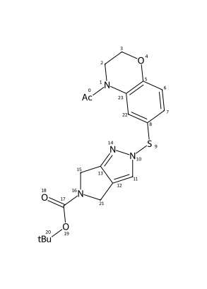 CC(=O)N1CCOc2ccc(Sn3cc4c(n3)CN(C(=O)OC(C)(C)C)C4)cc21